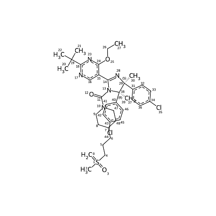 C=S(C)(=O)CCCC1CCN(C(=O)N2C(c3cnc(C(C)(C)C)nc3OCC)=N[C@@](C)(c3ccc(Cl)cc3)[C@@]2(C)c2ccc(Cl)cc2)CC1